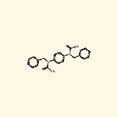 NC(=S)N(Cc1ccccc1)c1ccc(N(Cc2ccccc2)C(N)=S)cc1